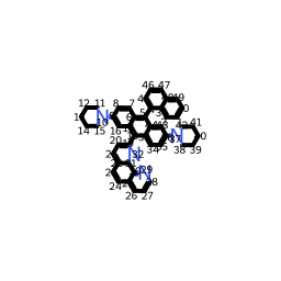 c1ccc2c(-c3c4ccc(N5CCCCC5)cc4c(-c4ccc5ccc6cccnc6c5n4)c4ccc(N5CCCCC5)cc34)cccc2c1